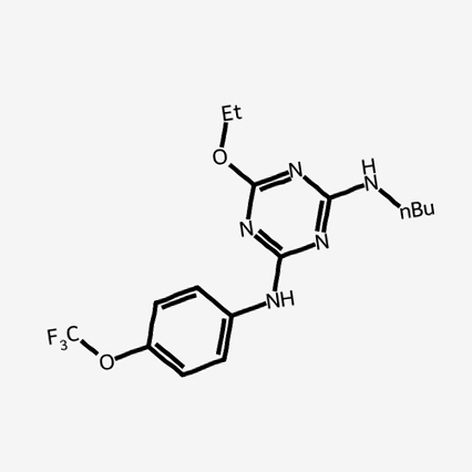 CCCCNc1nc(Nc2ccc(OC(F)(F)F)cc2)nc(OCC)n1